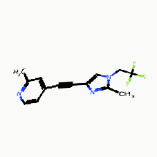 Cc1cc(C#Cc2cn(CC(F)(F)F)c(C)n2)ccn1